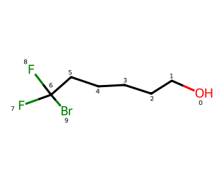 OCCCCCC(F)(F)Br